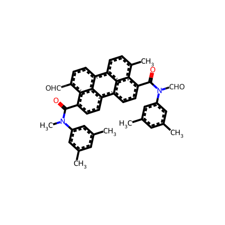 Cc1cc(C)cc(N(C)C(=O)c2ccc3c4ccc(C(=O)N(C=O)c5cc(C)cc(C)c5)c5c(C)ccc(c6ccc(C=O)c2c63)c54)c1